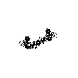 CN(C)[C@@H](C(=O)N1CCC[C@H]1c1nc(C(=O)N[C@H]2CC[C@H](NC(=O)c3c[nH]c([C@@H]4CCCN4C(=O)[C@@H](c4ccccc4)N(C)C)n3)CC2)c[nH]1)c1ccccc1